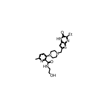 CCc1nc2sc(CN3CCN(c4ccc(C)nc4C(=O)NCCO)CC3)cc2[nH]c1=O